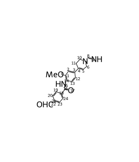 COc1cc(C2=CCN(C=N)CC2)ccc1NC(=O)c1ccc(C=O)cc1